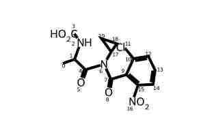 CC(NC(=O)O)C(=O)N(C(=O)c1c(Cl)cccc1[N+](=O)[O-])C1CC1